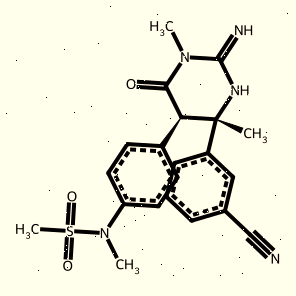 CN1C(=N)N[C@](C)(c2cccc(C#N)c2)[C@@H](c2ccc(N(C)S(C)(=O)=O)cc2)C1=O